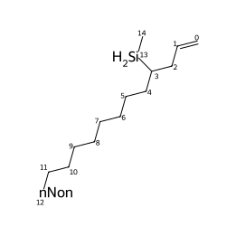 C=CCC(CCCCCCCCCCCCCCCCC)[SiH2]C